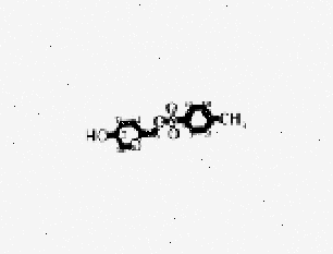 Cc1ccc(S(=O)(=O)OCC2CCC(O)CO2)cc1